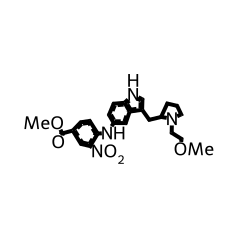 COCCN1CCCC1Cc1c[nH]c2ccc(Nc3ccc(C(=O)OC)cc3[N+](=O)[O-])cc12